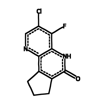 O=c1[nH]c2c(F)c(Cl)cnc2c2c1CCC2